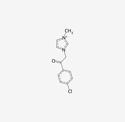 C[n+]1ccn(CC(=O)c2ccc(Cl)cc2)c1